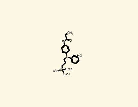 C=CC(=O)Nc1ccc(N(CCC[Si](OC)(OC)OC)c2ccccc2)cc1.Cl